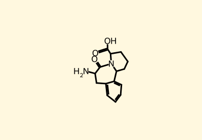 NC1Cc2ccccc2C2CCCC(C(=O)O)N2C1=O